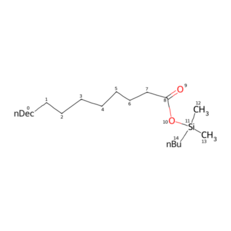 CCCCCCCCCCCCCCCCCC(=O)O[Si](C)(C)CCCC